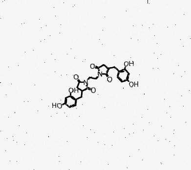 O=C1CC(Cc2ccc(O)cc2O)C(=O)N1CCN1C(=O)CC(Cc2ccc(O)cc2O)C1=O